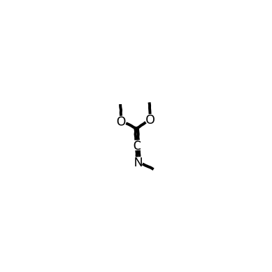 CN=C=C(OC)OC